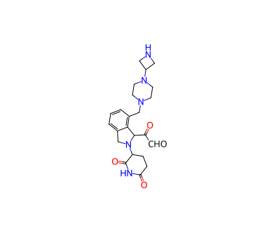 O=CC(=O)C1c2c(CN3CCN(C4CNC4)CC3)cccc2CN1C1CCC(=O)NC1=O